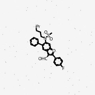 CC(C)CCCN(c1cc2oc(-c3ccc(F)cc3)c(C=O)c2cc1-c1ccccc1)S(C)(=O)=O